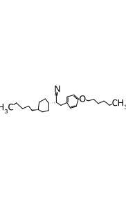 CCCCCCOc1ccc(CC(C#N)[C@H]2CC[C@H](CCCCC)CC2)cc1